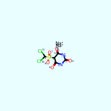 O=C1[N-]C(=O)C(S(=O)(=O)C(Cl)Cl)C(=O)[N-]1.[Na+].[Na+]